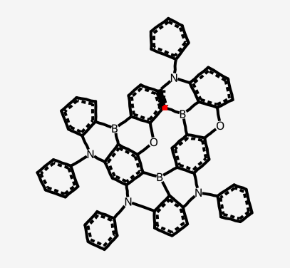 c1ccc(N2c3ccccc3B3c4cc5c(cc4Oc4cccc2c43)N(c2ccccc2)c2cccc3c2B5c2c(cc4c5c2Oc2ccccc2B5c2ccccc2N4c2ccccc2)N3c2ccccc2)cc1